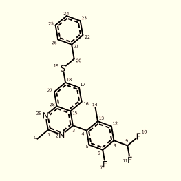 Cc1nc(-c2cc(F)c(C(F)F)cc2C)c2ccc(SCc3ccccc3)cc2n1